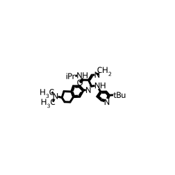 C=N/C=C(C(=O)NC(C)C)\C(=N/c1ccc2c(c1)CCC(N(C)C)C2)Nc1ccnc(C(C)(C)C)c1